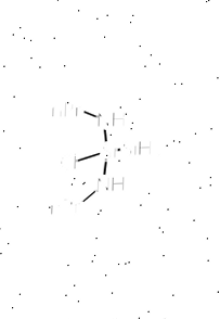 CCCN[Si]([SiH3])(Cl)NCCC